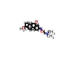 CN(C)CCO/N=C1\CC[C@@]2(C)[C@H](C1)C(=O)C[C@@H]1[C@@H]2CC[C@]2(C)C(=O)CC[C@@H]12